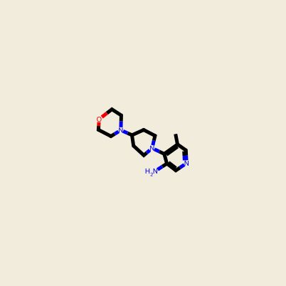 Cc1cncc(N)c1N1CCC(N2CCOCC2)CC1